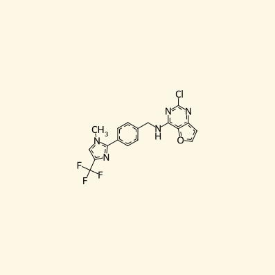 Cn1cc(C(F)(F)F)nc1-c1ccc(CNc2nc(Cl)nc3ccoc23)cc1